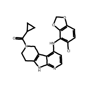 O=C(C1CC1)N1CCc2[nH]c3nccc(Nc4c(Cl)ccc5c4OCO5)c3c2C1